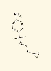 CC(C)(OCCC1CC1)c1ccc(N)cc1